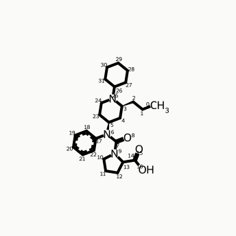 CCC[C@H]1C[C@@H](N(C(=O)N2CCCC2C(=O)O)c2ccccc2)CCN1C1CCCCC1